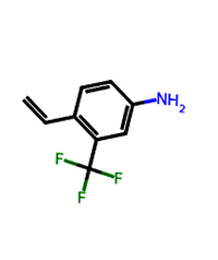 C=Cc1ccc(N)cc1C(F)(F)F